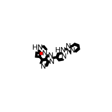 c1ccn2nc(Nc3cc(-c4nc(N5CCNCC5)c5c(C6CCC6)cncc5n4)ccn3)nc2c1